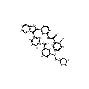 O=C(Nc1cccc(-c2nc3ccccn3c2-c2ccnc(Nc3cccc(CCN4CCCC4)c3)n2)c1)c1c(F)cccc1F